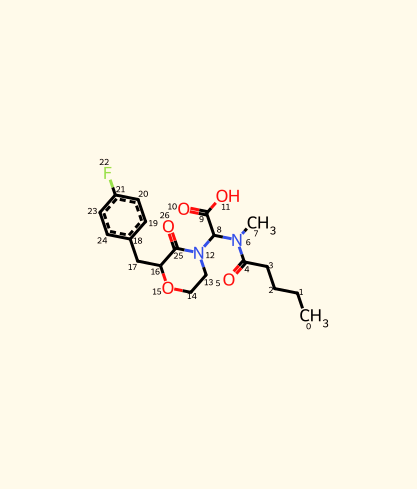 CCCCC(=O)N(C)C(C(=O)O)N1CCOC(Cc2ccc(F)cc2)C1=O